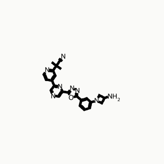 CC(C)(C#N)c1cc(-c2cncc(-c3nnc(-c4cccc(N5CC(N)C5)c4)o3)n2)ccn1